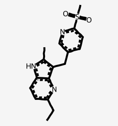 CCc1ccc2[nH]c(C)c(Cc3ccc(S(C)(=O)=O)nc3)c2n1